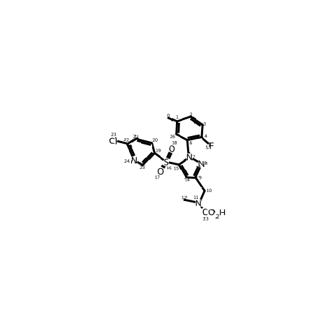 Cc1ccc(F)c(-n2nc(CN(C)C(=O)O)cc2S(=O)(=O)c2ccc(Cl)nc2)c1